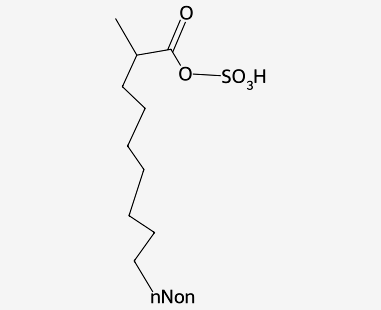 CCCCCCCCCCCCCCCCC(C)C(=O)OS(=O)(=O)O